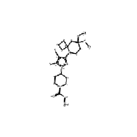 CCOC1(OCC)CCN(c2nn(C3CCN(C(=O)OC(C)(C)C)CC3)c(C)c2I)C2(CCC2)C1